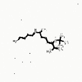 CCCCCNC(C)CCCC(NC(C)(C)C)[C](C)C